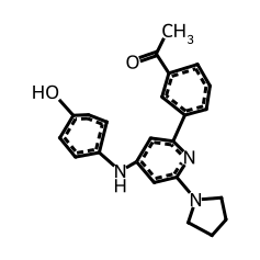 CC(=O)c1cccc(-c2cc(Nc3ccc(O)cc3)cc(N3CCCC3)n2)c1